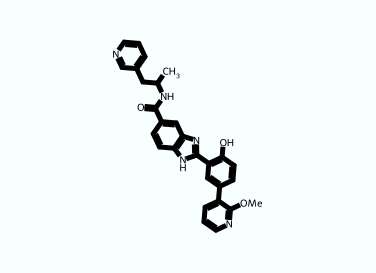 COc1ncccc1-c1ccc(O)c(-c2nc3cc(C(=O)NC(C)Cc4cccnc4)ccc3[nH]2)c1